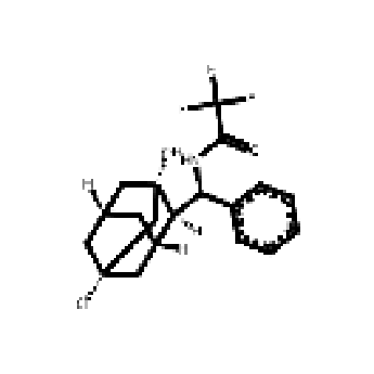 O=C(N[C@@H](c1ccccc1)[C@H]1[C@H]2C[C@@H]3C[C@](Cl)(C2)C[C@@]1(O)C3)C(F)(F)F